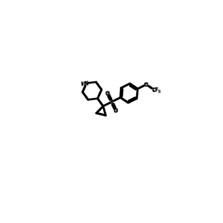 O=S(=O)(c1ccc(OC(F)(F)F)cc1)C1(C2CCNCC2)CC1